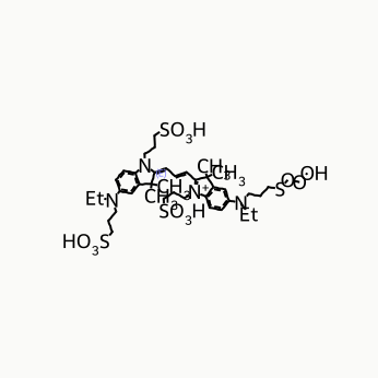 CCN(CCCSOOO)c1ccc2c(c1)C(C)(C)C(C=C/C=C1/N(CCCS(=O)(=O)O)c3ccc(N(CC)CCCS(=O)(=O)O)cc3C1(C)C)=[N+]2CCCS(=O)(=O)O